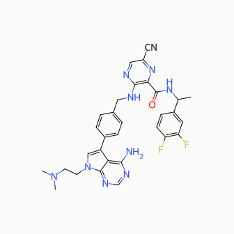 CC(NC(=O)c1nc(C#N)cnc1NCc1ccc(-c2cn(CCN(C)C)c3ncnc(N)c23)cc1)c1ccc(F)c(F)c1